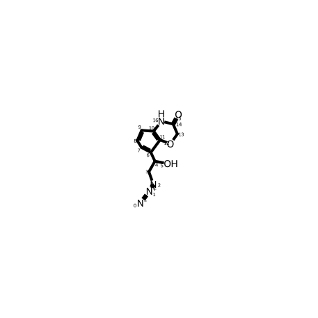 [N-]=[N+]=NCC(O)c1cccc2c1OCC(=O)N2